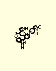 CC(Oc1ccc2[nH]nc(-c3ccc(N4CCC5(CCC(=O)N5)CC4)nc3)c2c1)c1ccnc2[nH]ccc12